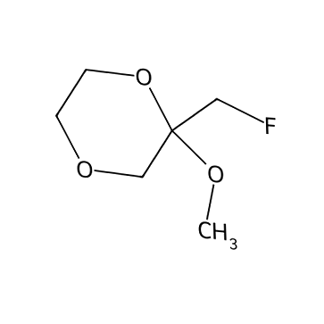 COC1(CF)COCCO1